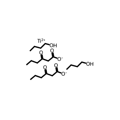 CCCC(=O)CC(=O)[O-].CCCC(=O)CC(=O)[O-].CCCCO.CCCCO.[Ti+2]